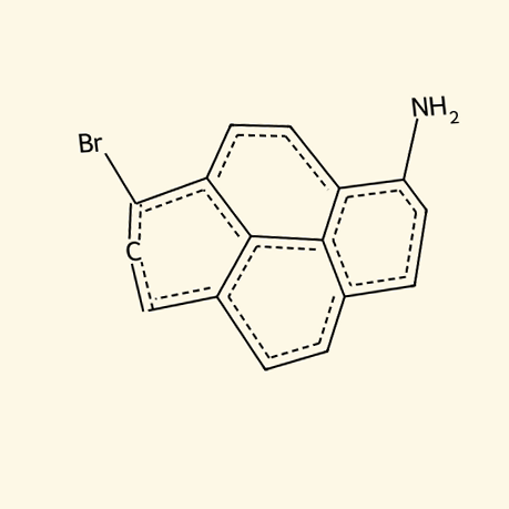 Nc1ccc2ccc3ccc(Br)c4ccc1c2c34